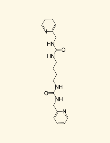 O=C(NCCCCNC(=O)NCc1ccccn1)NCc1ccccn1